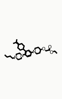 CCCCN1CCN(c2ccc(N3CCC(OCC(=O)OCC)CC3)cc2C2CCC(=C(C)C)CC2)CC1